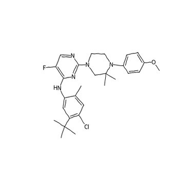 COc1ccc(N2CCN(c3ncc(F)c(Nc4cc(C(C)(C)C)c(Cl)cc4C)n3)CC2(C)C)cc1